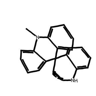 CN1c2ccccc2C2(c3ccccc3Nc3ccccc32)c2ccccc21